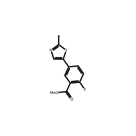 COC(=O)c1cc(-c2cnc(C)s2)ccc1F